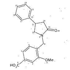 COc1cc(C(=O)O)ccc1CN1CC(c2ccccc2)CC1=O